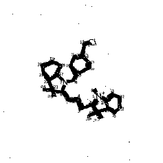 C[N+]1=C(C=CC=C2N(Cc3ccc(CCl)cc3)c3ccccc3C2(C)C)C(C)(C)c2ccccc21